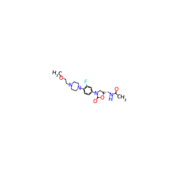 COCCN1CCN(c2ccc(N3C[C@H](CNC(C)=O)OC3=O)cc2F)CC1